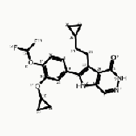 O=c1[nH]ncc2[nH]c(-c3ccc(OC(F)F)c(OC4CC4)c3)c(CCC3CC3)c12